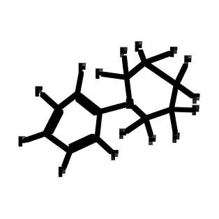 Fc1c(F)c(F)c(B2C(F)(F)C(F)(F)C(F)(F)C(F)(F)C2(F)F)c(F)c1F